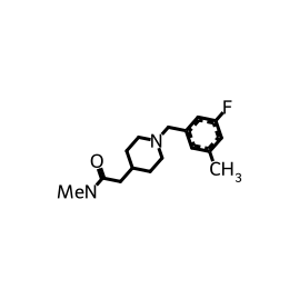 CNC(=O)CC1CCN(Cc2cc(C)cc(F)c2)CC1